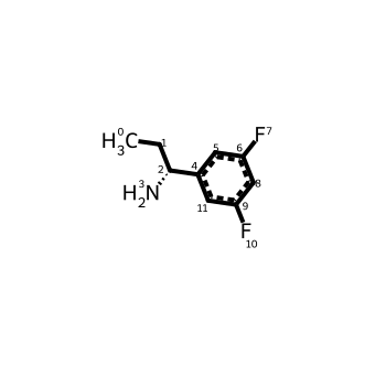 CC[C@@H](N)c1cc(F)cc(F)c1